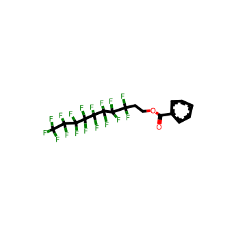 O=C(OCCC(F)(F)C(F)(F)C(F)(F)C(F)(F)C(F)(F)C(F)(F)C(F)(F)C(F)(F)F)c1ccccc1